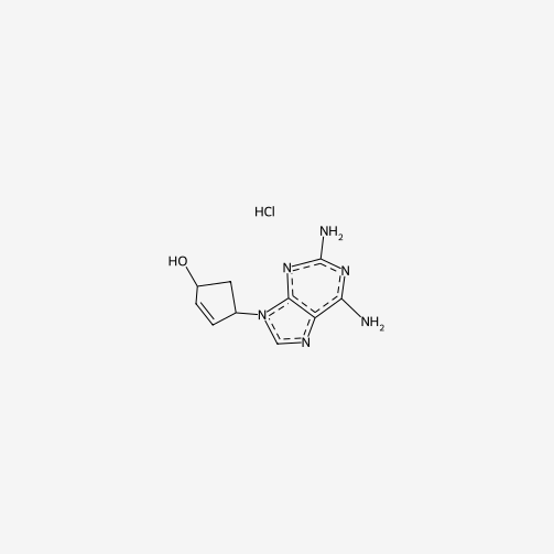 Cl.Nc1nc(N)c2ncn(C3C=CC(O)C3)c2n1